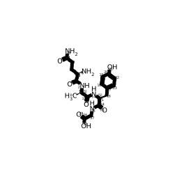 C[C@H](NC(=O)[C@@H](N)CCC(N)=O)C(=O)N[C@@H](Cc1ccc(O)cc1)C(=O)NCC(=O)O